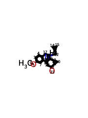 COc1ccc2c(c1)[C@]13CCN(CC4CC4)[C@H](C2)C1C1CC1C(=O)C3